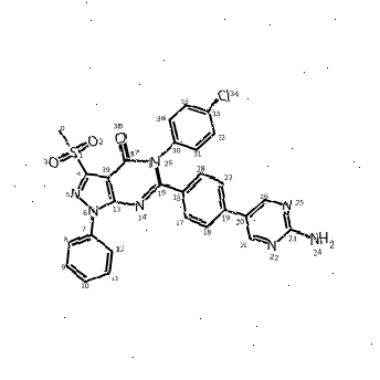 CS(=O)(=O)c1nn(-c2ccccc2)c2nc(-c3ccc(-c4cnc(N)nc4)cc3)n(-c3ccc(Cl)cc3)c(=O)c12